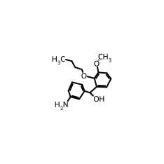 CCCCOc1c(OC)cccc1C(O)c1cccc(N)c1